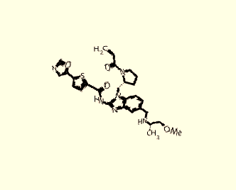 C=CC(=O)N1CCC[C@@H]1Cn1c(NC(=O)c2ccc(-c3cnco3)s2)nc2cc(CN[C@@H](C)COC)ccc21